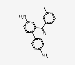 Cc1cccc(C(=O)c2cc(N)ccc2-c2ccc(N)cc2)c1